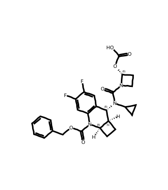 O=C(O)O[C@@H]1CCN1C(=O)N(C1CC1)[C@H]1c2cc(F)c(F)cc2N(C(=O)OCc2ccccc2)[C@@H]2CC[C@@H]21